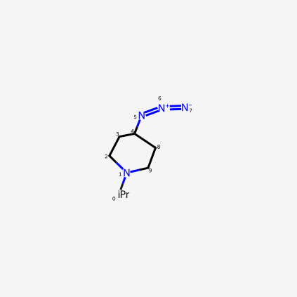 CC(C)N1CCC(N=[N+]=[N-])CC1